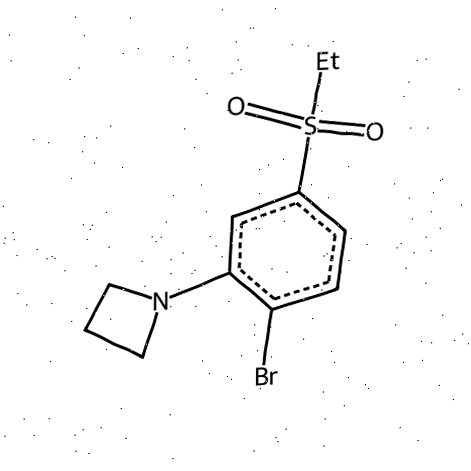 CCS(=O)(=O)c1ccc(Br)c(N2CCC2)c1